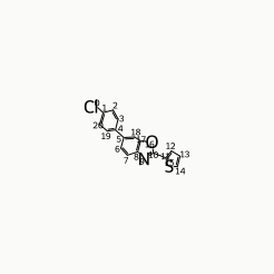 Clc1ccc(-c2ccc3nc(-c4cccs4)oc3c2)cc1